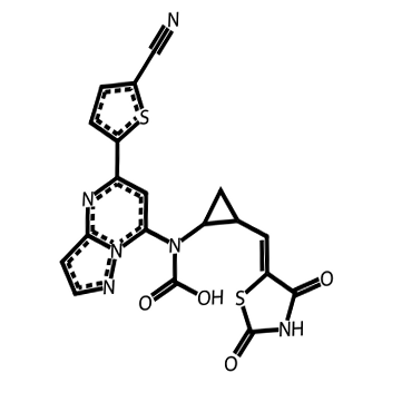 N#Cc1ccc(-c2cc(N(C(=O)O)C3CC3C=C3SC(=O)NC3=O)n3nccc3n2)s1